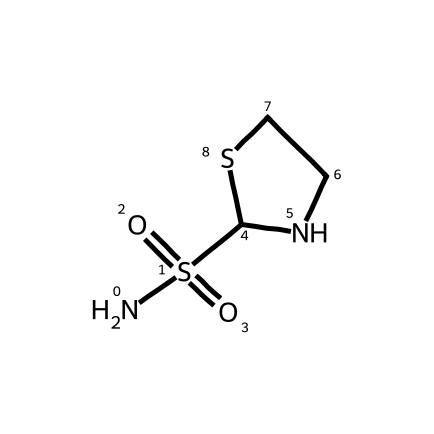 NS(=O)(=O)C1NCCS1